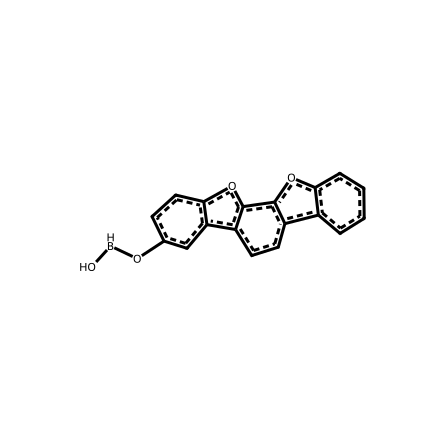 OBOc1ccc2oc3c(ccc4c5ccccc5oc43)c2c1